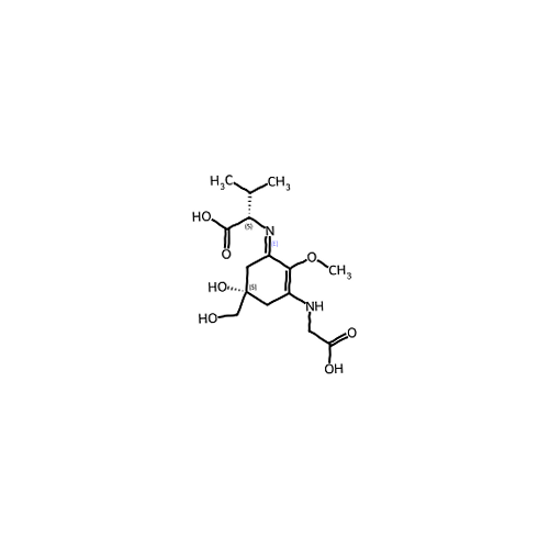 COC1=C(NCC(=O)O)C[C@@](O)(CO)C/C1=N\[C@H](C(=O)O)C(C)C